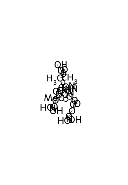 COc1ccccc1Oc1c(OCCOC(=O)OCCOCCON(O)O)nc(-c2ncccn2)nc1N(COC(=O)OCCOCCON(O)O)S(=O)(=O)c1ccc(C(C)(C)COC(=O)OCCO)cc1